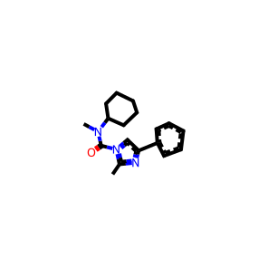 Cc1nc(-c2ccccc2)cn1C(=O)N(C)C1CCCCC1